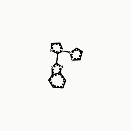 c1ccc2sc(-c3nccn3-n3cccn3)nc2c1